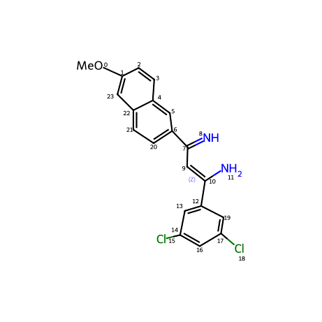 COc1ccc2cc(C(=N)/C=C(\N)c3cc(Cl)cc(Cl)c3)ccc2c1